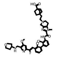 COc1cc(/C(F)=C/c2cccc(-c3cccc(NC(=O)c4nc5c(n4C)CCN(CCC46CCC(C(=O)O)(CC4)C6)C5)c3Cl)c2Cl)ncc1CNC1CCOCC1